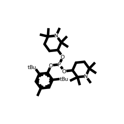 Cc1cc(C(C)(C)C)c(OP(OC2CCC(C)(C)N(C)C2(C)C)OC2CCC(C)(C)N(C)C2(C)C)c(C(C)(C)C)c1